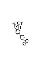 COC(=O)c1ccc(-c2ccc(CN(C(=O)OC(C)(C)C)C3CC3)cc2)cc1